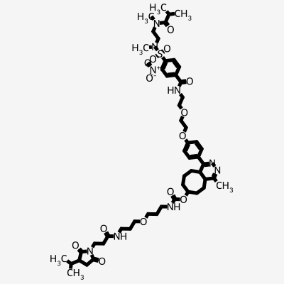 CC1=NN=C(c2ccc(OCCOCCNC(=O)c3ccc(S(=O)(=O)N(C)CCN(C)C(=O)C(C)C)c([N+](=O)[O-])c3)cc2)C2CCCC(OC(=O)NCCCOCCCNC(=O)CCN3C(=O)CC(C(C)C)C3=O)CCC12